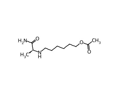 CC(=O)OCCCCCCN[C@@H](C)C(N)=O